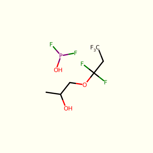 CC(O)COC(F)(F)CC(F)(F)F.OP(F)F